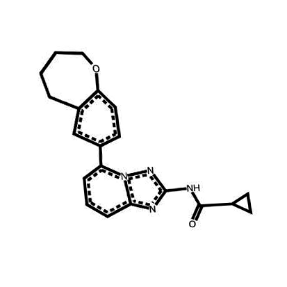 O=C(Nc1nc2cccc(-c3ccc4c(c3)CCCCO4)n2n1)C1CC1